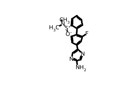 CN(C)[S+]([O-])c1ccccc1-c1ccc(-c2cnc(N)cn2)cc1F